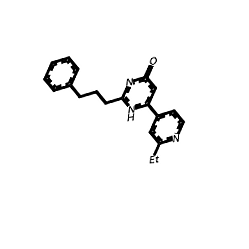 CCc1cc(-c2cc(=O)nc(CCCc3ccccc3)[nH]2)ccn1